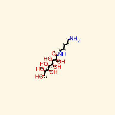 NCCCCCNC(=O)C(O)C(O)C(O)C(O)C(O)C(O)CO